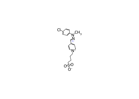 CN(/N=C/c1cc[n+](CCCCS(=O)(=O)[O-])cc1)c1ccc(Cl)cc1